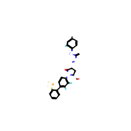 C=C(NC[C@@H]1C[C@@H](CO)N(c2ccc(-c3ccccc3S(C)(=O)=O)c(F)c2F)C1=O)Nc1ccc(C(F)(F)F)cc1F